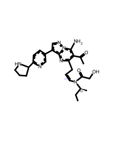 CC[C@H](C)N(/C=C\Cc1nc2c(-c3ccc(C4CCCN4)nc3)cnn2c(N)c1C(C)=O)C(=O)CO